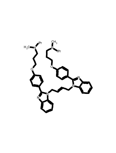 CC(C)N(C)CCCOc1ccc(-c2nc3ccccc3n2CC=CCn2c(-c3ccc(OCCCN(C)C(C)C)cc3)nc3ccccc32)cc1